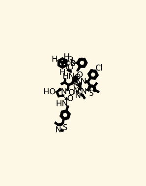 Cc1ncsc1-c1ccc(CNC(=O)[C@@H]2C[C@@H](O)CN2C(=O)C(c2cc(OCc3ccccc3B3O[C@@H]4C[C@@H]5C[C@@H](C5(C)C)[C@]4(CCNC(=O)C[C@@H]4N=C(c5ccc(Cl)cc5)c5c(sc(C)c5C)-n5c(C)nnc54)O3)no2)C(C)C)cc1